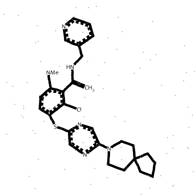 C=C(NCc1cccnc1)c1c(NC)ccc(Sc2cnc(N3CCC4(CCCC4)CC3)cn2)c1Cl